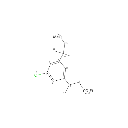 CCOC(=O)CC(C)c1cc(Cl)cc(C(C)(C)COC)c1